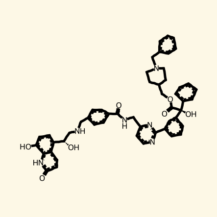 O=C(NCc1ccnc(-c2cccc([C@](O)(C(=O)OCC3CCN(Cc4ccccc4)CC3)c3ccccc3)c2)n1)c1ccc(CNC[C@H](O)c2ccc(O)c3[nH]c(=O)ccc23)cc1